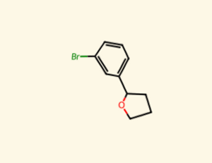 Brc1cccc(C2CCCO2)c1